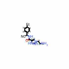 CCc1ccc(C(C#N)NC(=O)C2=CN(CCN)NN2)cc1